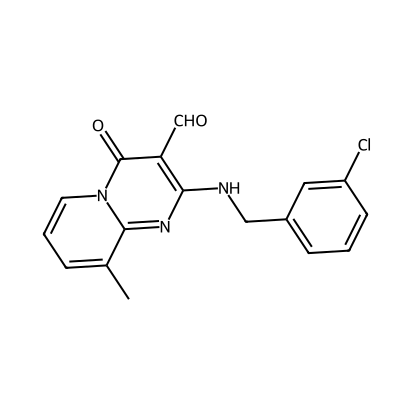 Cc1cccn2c(=O)c(C=O)c(NCc3cccc(Cl)c3)nc12